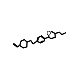 C=CC1CCC(CCc2ccc(C3CCC(CCC)CO3)cc2)CC1